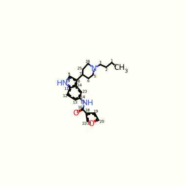 CCCCN1CCC(c2c[nH]c3ccc(NC(=O)c4ccoc4)cc23)CC1